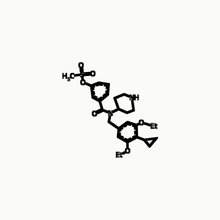 CCOc1cc(CN(C(=O)c2cccc(OS(C)(=O)=O)c2)C2CCNCC2)cc(OCC)c1C1CC1